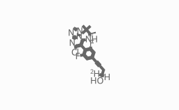 [2H]C([2H])(O)CC#Cc1cc(F)c(-c2c(Cl)nc3ncnn3c2N[C@H](C)C(C)(C)C)c(F)c1